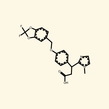 Cn1ccnc1C(CC(=O)O)c1ccc(OCc2ccc3c(c2)OC(F)(F)O3)cc1